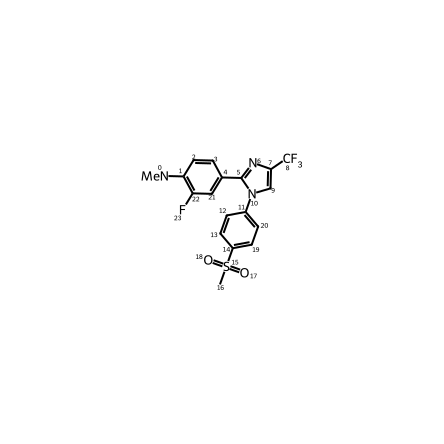 CNc1ccc(-c2nc(C(F)(F)F)cn2-c2ccc(S(C)(=O)=O)cc2)cc1F